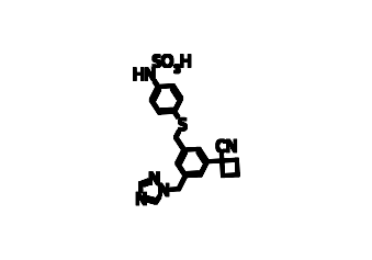 N#CC1(c2cc(CSc3ccc(NS(=O)(=O)O)cc3)cc(Cn3cncn3)c2)CCC1